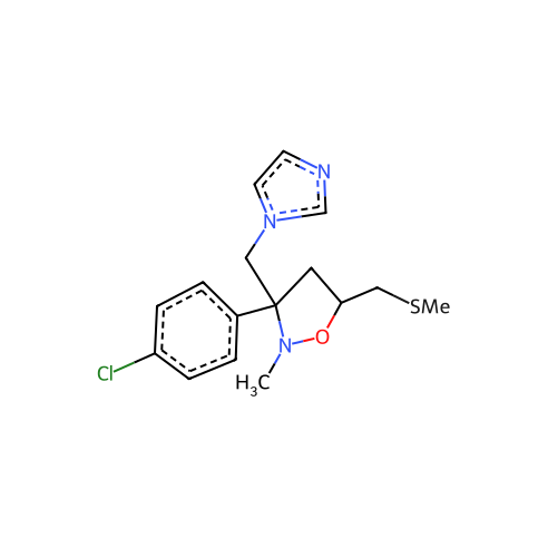 CSCC1CC(Cn2ccnc2)(c2ccc(Cl)cc2)N(C)O1